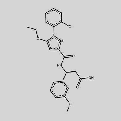 CCOc1cc(C(=O)N[C@@H](CC(=O)O)c2cccc(OC)c2)nn1-c1ccccc1Cl